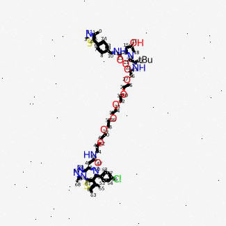 Cc1ncsc1-c1ccc(CNC(=O)[C@@H]2C[C@@H](O)CN2C(=O)C(NC(=O)COCCOCCOCCOCCOCCOCCNC(=O)C[C@@H]2N=C(c3ccc(Cl)cc3)c3c(sc(C)c3C)-n3c(C)nnc32)C(C)(C)C)cc1